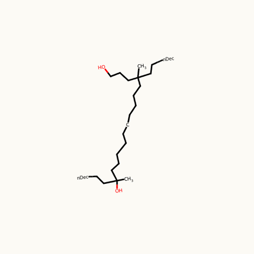 CCCCCCCCCCCCC(C)(O)CCCCCCCCCCC(C)(CCCO)CCCCCCCCCCCC